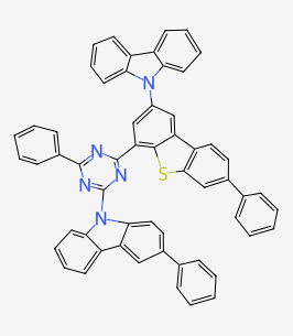 c1ccc(-c2ccc3c(c2)sc2c(-c4nc(-c5ccccc5)nc(-n5c6ccccc6c6cc(-c7ccccc7)ccc65)n4)cc(-n4c5ccccc5c5ccccc54)cc23)cc1